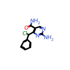 NC(=O)c1cnc(N)nc1C(Cl)c1ccccc1